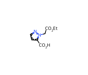 CCOC(=O)Cn1nccc1C(=O)O